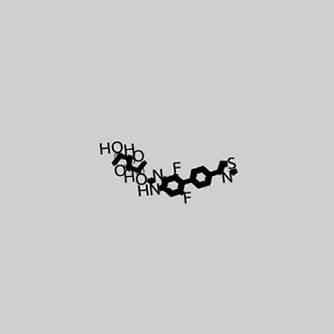 O[C@@H]1CO[C@H]2[C@@H]1OC[C@H]2Oc1nc2c(F)c(-c3ccc(-c4cscn4)cc3)c(F)cc2[nH]1